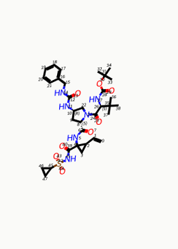 C=CC1CC1(NC(=O)[C@@H]1C[C@@H](NC(=O)NCc2ccccc2)CN1C(=O)[C@@H](NC(=O)OC(C)(C)C)C(C)(C)C)C(=O)NS(=O)(=O)C1CC1